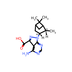 C[C@H]1C2CC(C[C@H]1n1nc(C(=O)O)c3c(N)ncnc31)C2(C)C